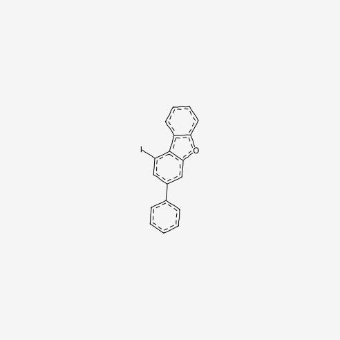 Ic1cc(-c2ccccc2)cc2oc3ccccc3c12